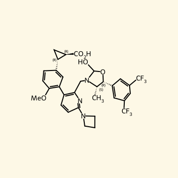 COc1ccc([C@@H]2C[C@H]2C(=O)O)cc1-c1ccc(N2CCC2)nc1CN1C(O)O[C@H](c2cc(C(F)(F)F)cc(C(F)(F)F)c2)[C@@H]1C